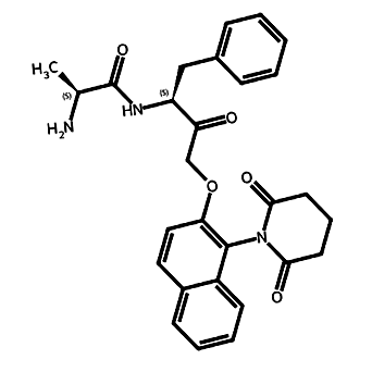 C[C@H](N)C(=O)N[C@@H](Cc1ccccc1)C(=O)COc1ccc2ccccc2c1N1C(=O)CCCC1=O